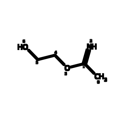 CC(=N)OCCO